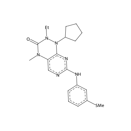 CCN1C(=O)N(C)c2cnc(Nc3cccc(SC)c3)nc2N1C1CCCC1